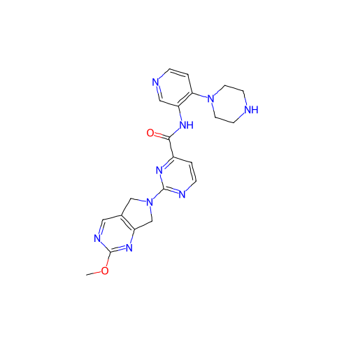 COc1ncc2c(n1)CN(c1nccc(C(=O)Nc3cnccc3N3CCNCC3)n1)C2